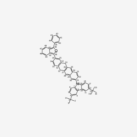 CC(C)(C)c1ccc2c(c1)c1cc(C(C)(C)C)ccc1n2-c1ccc2cc3c(cc2c1)Cc1ccc(-c2oc(-c4ccccc4)c4ccccc24)cc1C3